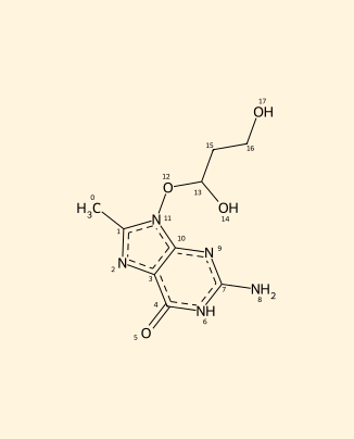 Cc1nc2c(=O)[nH]c(N)nc2n1OC(O)CCO